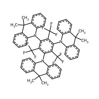 CC1(C)c2ccccc2N(c2c(C(F)(F)F)c(N3c4ccccc4C(C)(C)c4ccccc43)c(C(F)(F)F)c(N3c4ccccc4C(C)(C)c4ccccc43)c2C(F)(F)F)c2ccccc21